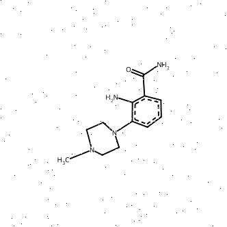 CN1CCN(c2cccc(C(N)=O)c2N)CC1